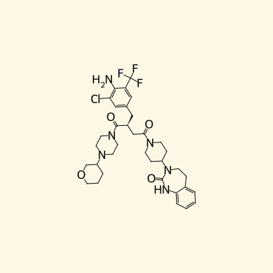 Nc1c(Cl)cc(C[C@@H](CC(=O)N2CCC(N3CCc4ccccc4NC3=O)CC2)C(=O)N2CCN(C3CCCOC3)CC2)cc1C(F)(F)F